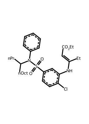 CCCCCCCCC(CCC)N(c1ccccc1)S(=O)(=O)c1ccc(Cl)c(NC(=CC(=O)OCC)CC)c1